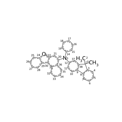 CC1(C)c2ccccc2-c2ccc(N(c3ccccc3)c3cc4oc5ccccc5c4c4ccccc34)cc21